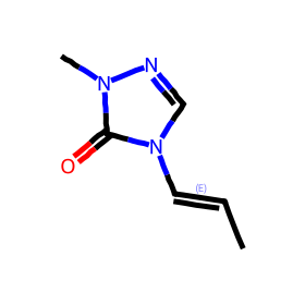 C/C=C/n1cnn(C)c1=O